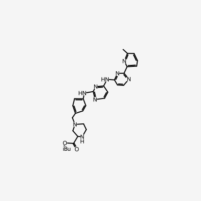 CC[C@H](C)OC(=O)C1CN(Cc2ccc(Nc3nccc(Nc4ccnc(-c5cccc(C)n5)n4)n3)cc2)CCN1